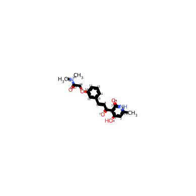 Cc1cc(O)c(C(=O)C=Cc2cccc(OCC(=O)N(C)C)c2)c(=O)[nH]1